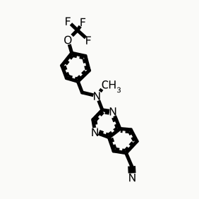 CN(Cc1ccc(OC(F)(F)F)cc1)c1cnc2cc(C#N)ccc2n1